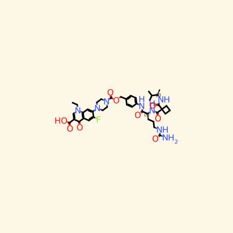 CCn1cc(C(=O)O)c(=O)c2cc(F)c(N3CCN(C(=O)OCc4ccc(NC(=O)[C@H](CCCNC(N)=O)NC(=O)C5(C(=O)N[C@H](C)C(C)C)CCC5)cc4)CC3)cc21